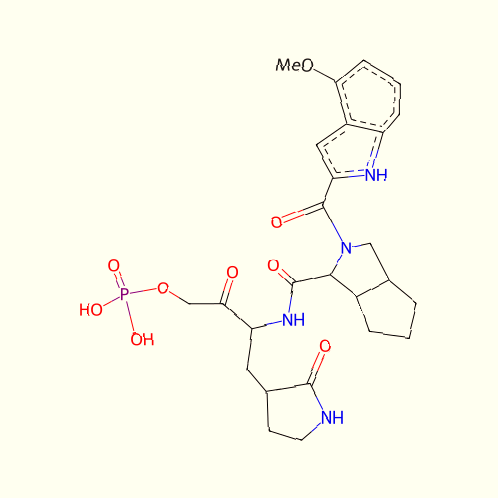 COc1cccc2[nH]c(C(=O)N3CC4CCCC4C3C(=O)NC(CC3CCNC3=O)C(=O)COP(=O)(O)O)cc12